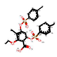 CCOc1c(C)c(OS(=O)(=O)c2ccc(C)cc2)cc(OS(=O)(=O)c2ccc(C)cc2)c1C(=O)O